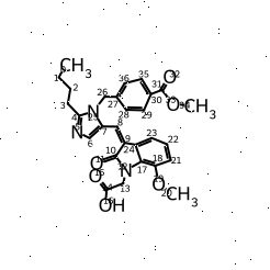 CCCCc1ncc(C=C2C(=O)N(CC(=O)O)c3c(OC)cccc32)n1Cc1ccc(C(=O)OC)cc1